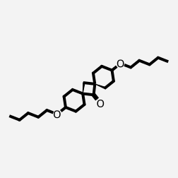 CCCCCOC1CC[C@]2(CC1)C[C@@]1(CCC(OCCCCC)CC1)C2=O